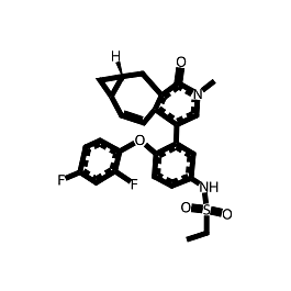 CCS(=O)(=O)Nc1ccc(Oc2ccc(F)cc2F)c(-c2cn(C)c(=O)c3c2C=CC2C[C@@H]2C3)c1